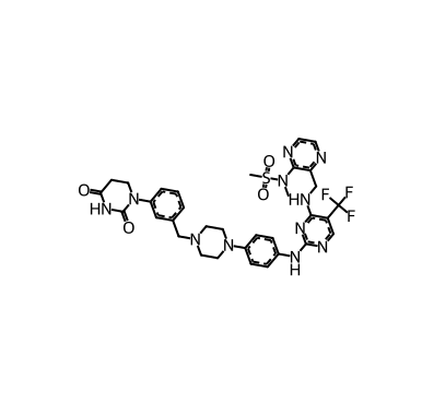 CN(c1nccnc1CNc1nc(Nc2ccc(N3CCN(Cc4cccc(N5CCC(=O)NC5=O)c4)CC3)cc2)ncc1C(F)(F)F)S(C)(=O)=O